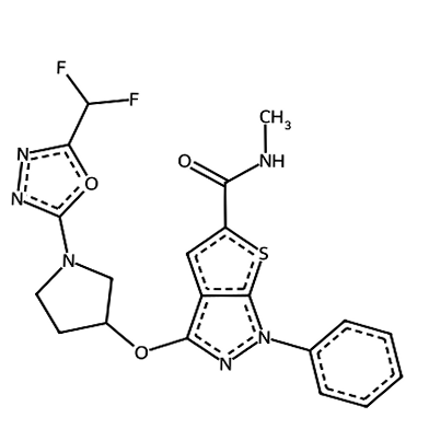 CNC(=O)c1cc2c(OC3CCN(c4nnc(C(F)F)o4)C3)nn(-c3ccccc3)c2s1